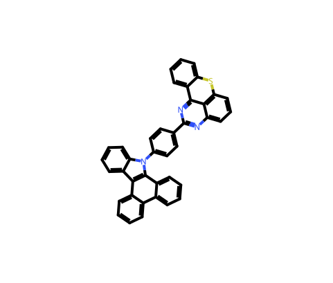 c1ccc2c(c1)Sc1cccc3nc(-c4ccc(-n5c6ccccc6c6c7ccccc7c7ccccc7c65)cc4)nc-2c13